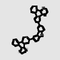 c1ccc2c(c1)c1ccc(-c3ccc4oc5ccc(-c6ccc7c8ccccc8c8nccnc8c7c6)cc5c4c3)cc1c1nccnc21